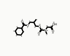 CC(COC(=O)C1CCCCC1)COC(=O)N(C)CC(=O)O